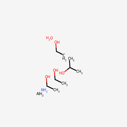 CC(C)O.CCO.CCO.CCO.N.O.[AlH3]